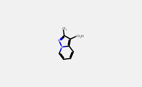 CCOC(=O)c1c(C(F)(F)F)nn2ccccc12